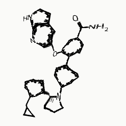 NC(=O)c1ccc(-c2ccc(N3CCC[C@H]3c3ccccc3C3CC3)cc2)c(Oc2cnc3[nH]ccc3c2)c1